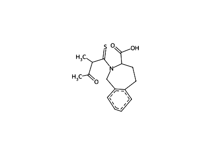 CC(=O)C(C)C(=S)N1Cc2ccccc2CCC1C(=O)O